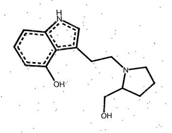 OCC1CCCN1CCc1c[nH]c2cccc(O)c12